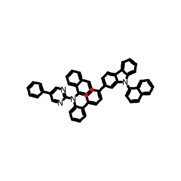 c1ccc(-c2cnc(N(c3ccccc3-c3ccc(-c4ccc5c6ccccc6n(-c6cccc7ccccc67)c5c4)cc3)c3cccc4ccccc34)nc2)cc1